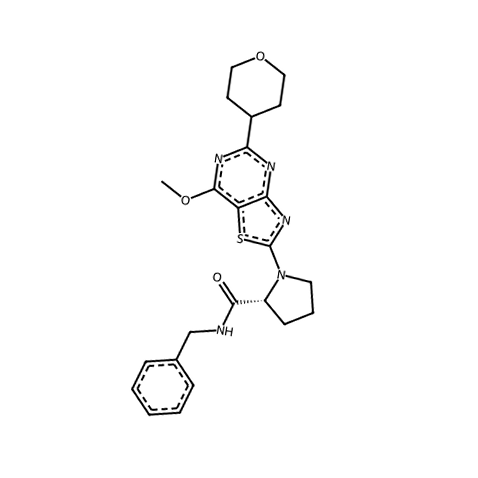 COc1nc(C2CCOCC2)nc2nc(N3CCC[C@@H]3C(=O)NCc3ccccc3)sc12